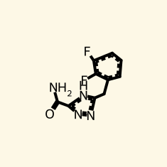 NC(=O)c1nnc(Cc2cccc(F)c2F)[nH]1